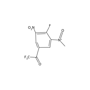 C[N+](=O)c1cc(C(=O)C(F)(F)F)cc([N+](=O)[O-])c1F